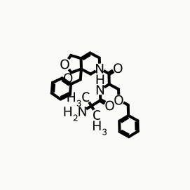 CC(C)(N)C(=O)NC(COCc1ccccc1)C(=O)N1CC=C2COC(=O)C2(Cc2ccccc2)C1